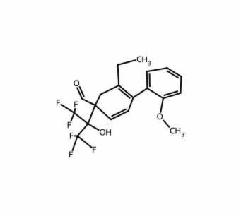 CCC1=C(c2ccccc2OC)C=CC(C=O)(C(O)(C(F)(F)F)C(F)(F)F)C1